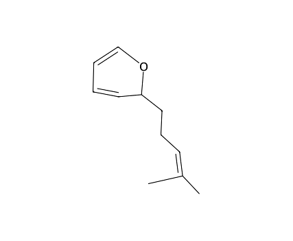 CC(C)=CCCC1C=CC=CO1